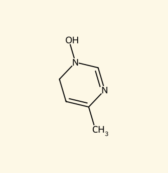 CC1=CCN(O)C=N1